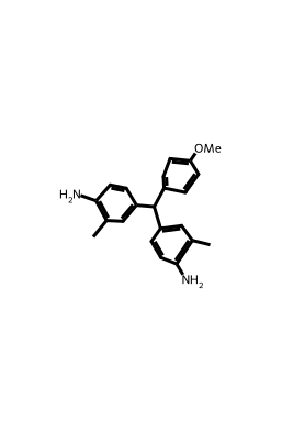 COc1ccc(C(c2ccc(N)c(C)c2)c2ccc(N)c(C)c2)cc1